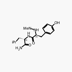 CNN[C@@H](Cc1ccc(O)cc1)C(=O)N[C@@H](CC(C)C)C(N)=O